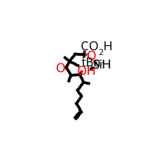 C=CCCCC(C)C(O)C(C)C(=O)C(C)(C)CC(O[SiH](C)C)(C(=O)O)C(C)(C)C